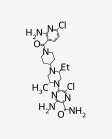 CC[C@H]1CN(c2nc(N)c(C(N)=O)nc2Cl)[C@H](C)CN1C1CCN(C(=O)c2ccc(Cl)nc2N)CC1